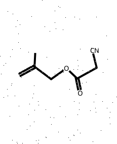 C=C(C)COC(=O)CC#N